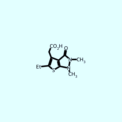 CCc1sc2c(c1CC(=O)O)c(=O)n(C)n2C